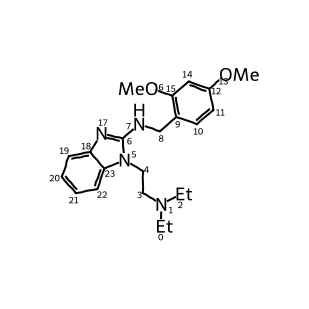 CCN(CC)CCn1c(NCc2ccc(OC)cc2OC)nc2ccccc21